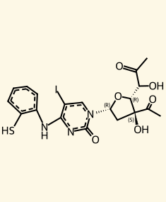 CC(=O)C(O)[C@H]1O[C@@H](n2cc(I)c(Nc3ccccc3S)nc2=O)C[C@@]1(O)C(C)=O